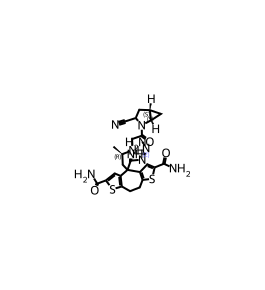 C[C@H](CC1(C(=N)/N=N\N)c2cc(C(N)=O)sc2CCc2sc(C(N)=O)cc21)NCC(=O)N1C(C#N)C[C@@H]2C[C@@H]21